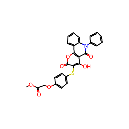 COC(=O)COc1ccc(Sc2c(O)c3c(=O)n(-c4ccccc4)c4ccccc4c3oc2=O)cc1